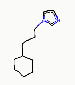 [c]1cn(CCCC2CCCCC2)cn1